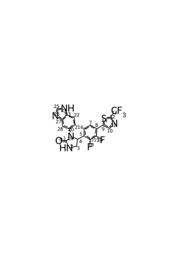 O=C1NCC(c2ccc(-c3cnc(C(F)(F)F)s3)c(F)c2F)N1c1ccc2[nH]cnc2c1